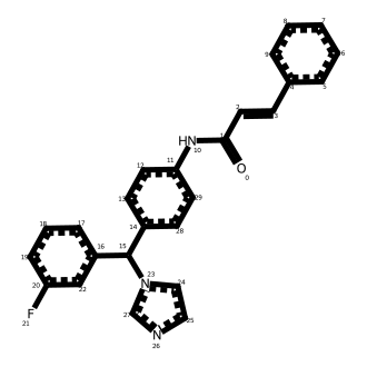 O=C(C=Cc1ccccc1)Nc1ccc(C(c2cccc(F)c2)n2ccnc2)cc1